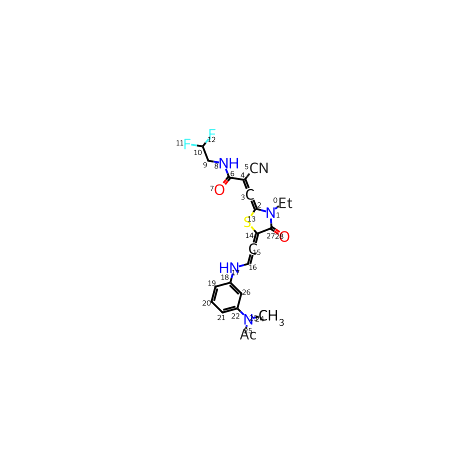 CCn1c(=C=C(C#N)C(=O)NCC(F)F)sc(=C=CNc2cccc(N(C)C(C)=O)c2)c1=O